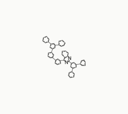 c1ccc(-c2cc(-c3ccccc3)cc(-c3cccc(-c4cccc(-c5nc(-c6cc(-c7ccccc7)cc(-c7ccccc7)c6)nc6ccccc56)c4)c3)c2)cc1